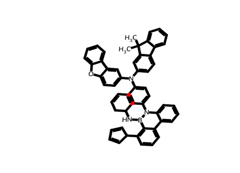 CC1(C)c2ccccc2-c2ccc(N(c3ccc(N4B(NC5C=CC=CC5)c5c(cccc5C5C=CC=C5)-c5ccccc54)cc3)c3ccc4oc5ccccc5c4c3)cc21